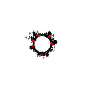 CCCC[C@H]1C(=O)N(C)[C@@H](CCCC)C(=O)N[C@@H](CCCNC(=N)N)C(=O)N[C@H](C(=O)NCC(N)=O)CSCC(=O)N[C@@H](Cc2ccccc2)C(=O)N(C)[C@@H](C)C(=O)N[C@@H](CC(N)=O)C(=O)N2CCCCC2C(=O)N[C@@H](Cc2cnc[nH]2)C(=O)N[C@@H](CC(C)C)C(=O)N(C)CC(=O)N[C@@H](Cc2c[nH]c3ccccc23)C(=O)N[C@@H](CO)C(=O)N[C@@H](Cc2c[nH]c3ccccc23)C(=O)N1C